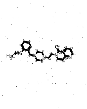 C=NSc1ccccc1CN1CCN(CCn2ccc3ncccc3c2=O)CC1